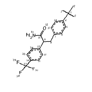 CC(C)(C)c1ccc(CC(C(N)=O)c2ccc(C(F)(F)F)cc2)cc1